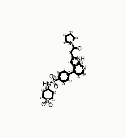 O=C(Cc1cc2c(-c3ccc(S(=O)(=O)NC4CCS(=O)(=O)CC4)cc3)ccnc2[nH]1)N1CCCC1